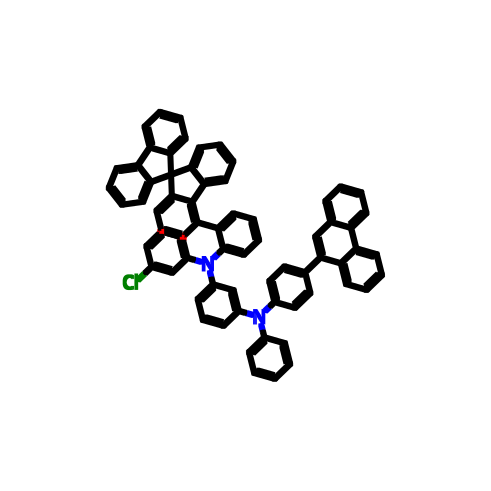 Clc1cccc(N(c2cccc(N(c3ccccc3)c3ccc(-c4cc5ccccc5c5ccccc45)cc3)c2)c2ccccc2-c2cccc3c2-c2ccccc2C32c3ccccc3-c3ccccc32)c1